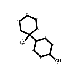 CC1(C2CCC(O)CC2)CCCCC1